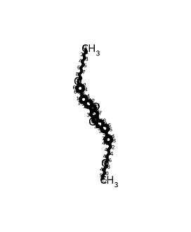 CCCCCCCCCCOc1ccc(-c2ccc3cc4c(cc3c2)oc2cc3c(cc24)oc2cc4cc(-c5ccc(CCCCCOCCCCC)cc5)ccc4cc23)cc1